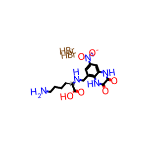 Br.Br.NCCCC[C@@H](NCc1cc([N+](=O)[O-])cc2[nH]c(=O)c(=O)[nH]c12)C(=O)O